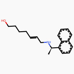 C[C@@H](NC/C=C/CCCCO)c1cccc2ccccc12